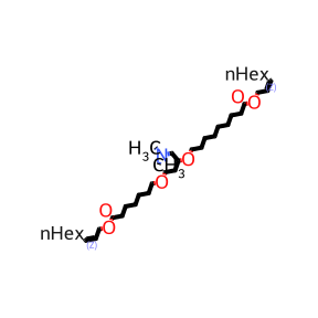 CCCCCC/C=C\COC(=O)CCCCCCCCOC(CCOCCCCCCC(=O)OC/C=C\CCCCCC)CN(C)C